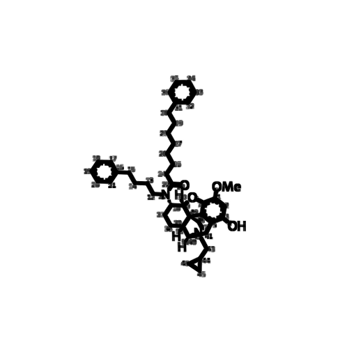 COc1cc(O)c2c3c1O[C@H]1[C@@H](N(CCCCc4ccccc4)C(=O)CCCCCCCc4ccccc4)CC[C@H]4[C@@H](C2)N(CC2CC2)CC[C@@]341